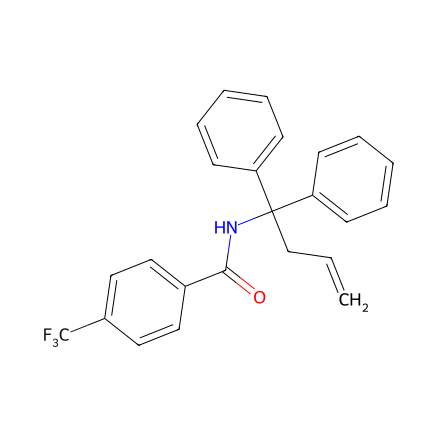 C=CCC(NC(=O)c1ccc(C(F)(F)F)cc1)(c1ccccc1)c1ccccc1